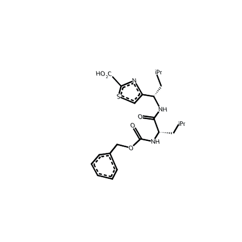 CC(C)C[C@H](NC(=O)OCc1ccccc1)C(=O)N[C@@H](CC(C)C)c1csc(C(=O)O)n1